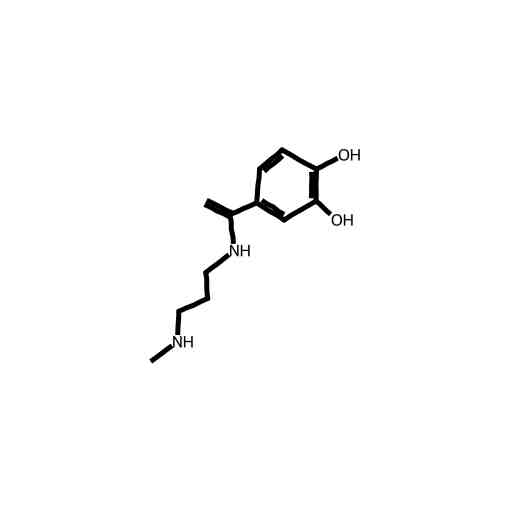 C=C(NCCCNC)c1ccc(O)c(O)c1